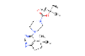 CC(C)(C)OC(=O)N1CCN(c2ncnc3c2C(C)(C)CC3)CC1